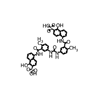 Cc1ccc(NC(=O)Nc2ccc(C)c(C(=O)Nc3cccc4c(O)c(S(=O)(=O)O)ccc34)c2)cc1C(=O)Nc1cccc2c(O)c(S(=O)(=O)O)ccc12